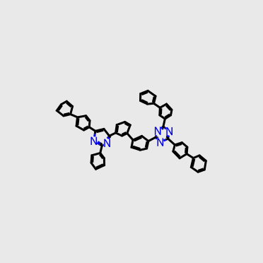 c1ccc(-c2ccc(-c3cc(-c4cccc(-c5cccc(-c6nc(-c7ccc(-c8ccccc8)cc7)nc(-c7cccc(-c8ccccc8)c7)n6)c5)c4)nc(-c4ccccc4)n3)cc2)cc1